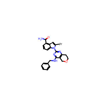 CC(C)c1cc2c(C(N)=O)cccc2n1-c1nc2c(c(NCc3ccccc3)n1)COCC2